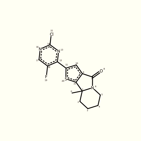 CC12CCCCN1C(=O)c1cc(-c3nc(Cl)ncc3F)sc12